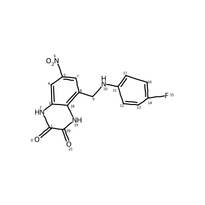 O=c1[nH]c2cc([N+](=O)[O-])cc(CNc3ccc(F)cc3)c2[nH]c1=O